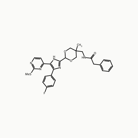 CSc1nccc(-c2[nH]c(C3OCC(C)(CNC(=O)Cc4ccccc4)CO3)nc2-c2ccc(F)cc2)n1